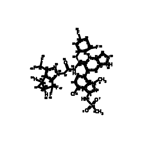 Cn1nc(NS(C)(=O)=O)c2c(Cl)ccc(-c3cc4[nH]ncc4nc3[C@@H](Cc3cc(F)cc(F)c3)NC(=O)Cn3nc(C(F)F)c4c3C(F)(F)[C@@H]3C[C@H]43)c21